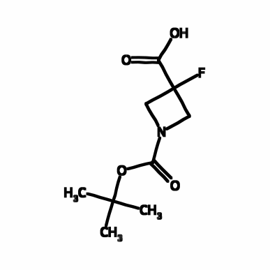 CC(C)(C)OC(=O)N1CC(F)(C(=O)O)C1